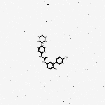 Cc1ccc(OC(=O)Nc2ccc(C3CCCCC3)cc2)cc1-c1ccc(C#N)cc1